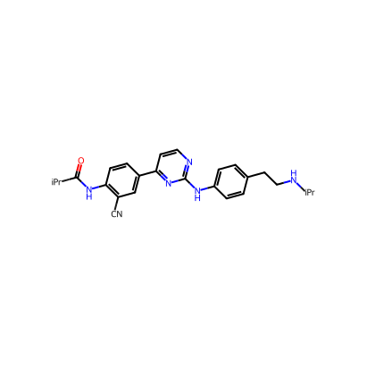 CC(C)NCCc1ccc(Nc2nccc(-c3ccc(NC(=O)C(C)C)c(C#N)c3)n2)cc1